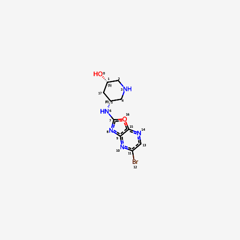 O[C@@H]1CNC[C@H](Nc2nc3nc(Br)cnc3o2)C1